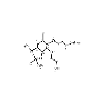 CCCCCCOCCOC1C(OCCO)C(OC(C)(C)CCC)C(CO)O[C@H]1C